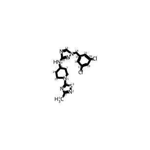 Cc1nsc(N2CCC(Nc3ncn(Cc4cc(Cl)cc(Cl)c4)n3)CC2)n1